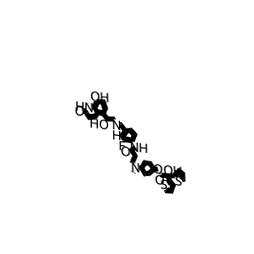 CN(CCC(=O)Nc1ccc(CNC[C@@H](O)c2ccc(O)c3[nH]c(=O)ccc23)cc1F)C1CCC(OC(=O)C(O)(c2cccs2)c2cccs2)CC1